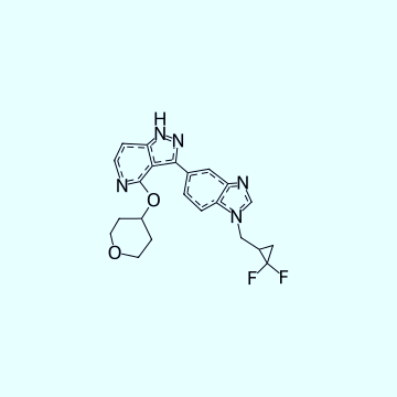 FC1(F)CC1Cn1cnc2cc(-c3n[nH]c4ccnc(OC5CCOCC5)c34)ccc21